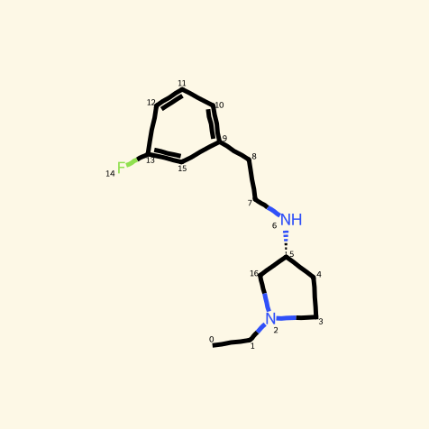 CCN1CC[C@@H](NCCc2cccc(F)c2)C1